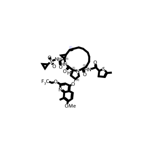 COc1ccc2c(O[C@@H]3C[C@H]4C(=O)N[C@]5(C(=O)NS(=O)(=O)C6CC6)CC5/C=C\CCCCC[C@H](NC(=O)C5CC=C(C)S5)C(=O)N4C3)cc(OCC(F)(F)F)nc2c1C